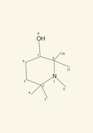 CN1C(C)(C)CCC(O)C1(C)C